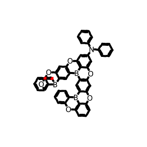 c1ccc(N(c2ccccc2)c2cc3c4c(c2)Oc2cc5c(cc2B4c2cc4c(cc2O3)Oc2cccc3c2B4c2ccccc2O3)B2c3ccccc3Oc3cccc(c32)O5)cc1